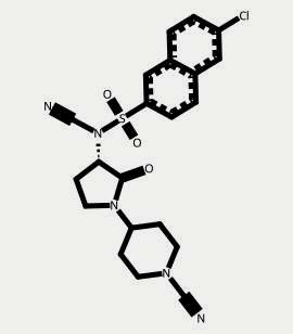 N#CN1CCC(N2CC[C@H](N(C#N)S(=O)(=O)c3ccc4cc(Cl)ccc4c3)C2=O)CC1